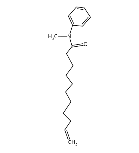 C=CCCCCCCCCC(=O)N(C)c1ccccc1